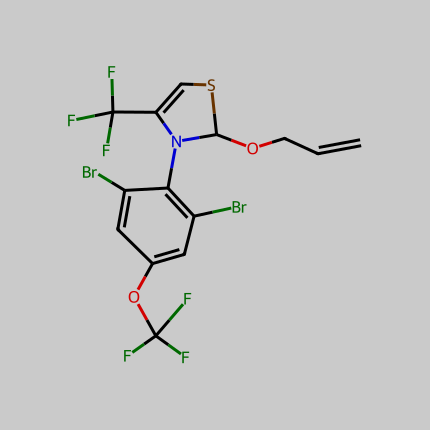 C=CCOC1SC=C(C(F)(F)F)N1c1c(Br)cc(OC(F)(F)F)cc1Br